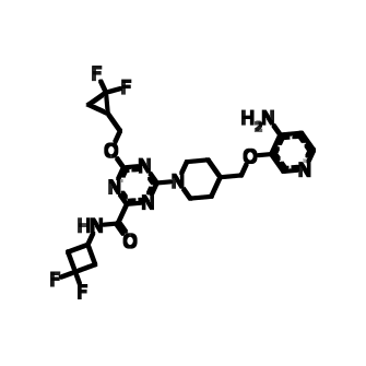 Nc1ccncc1OCC1CCN(c2nc(OCC3CC3(F)F)nc(C(=O)NC3CC(F)(F)C3)n2)CC1